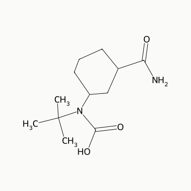 CC(C)(C)N(C(=O)O)C1CCCC(C(N)=O)C1